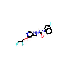 O=C(NCc1ccnc(OCC(F)CF)c1)NC12CCCC(C1)C(F)CC2